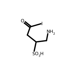 NCC(CC(=O)I)S(=O)(=O)O